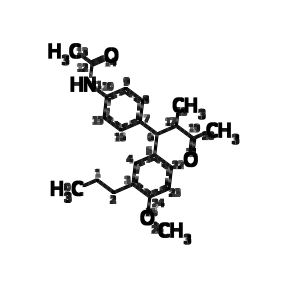 CCCc1cc(C(c2ccc(NC(C)=O)cc2)C(C)C(C)=O)ccc1OC